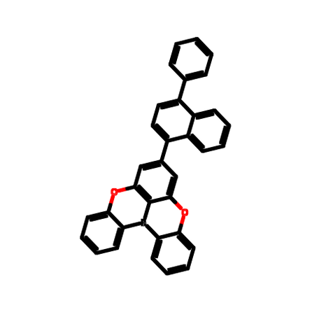 c1ccc(-c2ccc(-c3cc4c5c(c3)Oc3ccccc3B5c3ccccc3O4)c3ccccc23)cc1